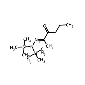 CCCC(=O)/C(C)=N/N([Si](C)(C)C)[Si](C)(C)C